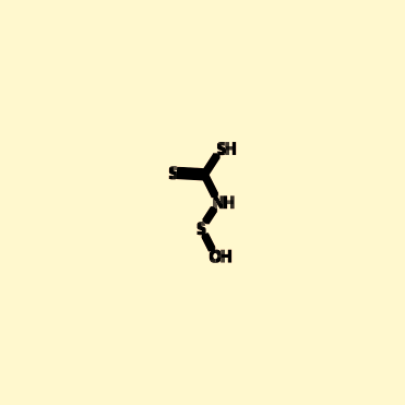 OSNC(=S)S